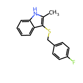 Cc1[nH]c2ccccc2c1SCc1ccc(F)cc1